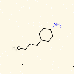 CCCC[C@H]1CC[C@H](N)CC1